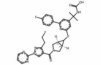 CC(C)(NC(=O)O)c1cc(OC2[C@H]3CN(C(=O)c4cn(-c5ncccn5)nc4CCF)C[C@@H]23)nc(-c2ccc(F)cc2)c1